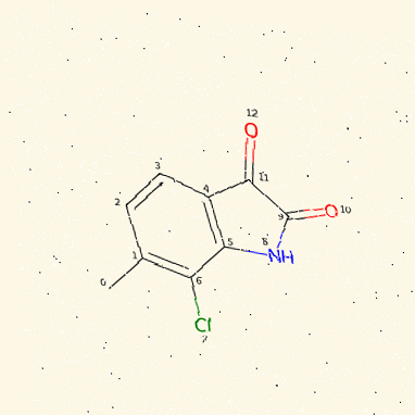 Cc1ccc2c(c1Cl)NC(=O)C2=O